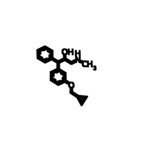 CNCC(O)C(c1ccccc1)c1cccc(OCC2CC2)c1